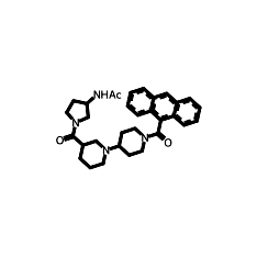 CC(=O)NC1CCN(C(=O)C2CCCN(C3CCN(C(=O)c4c5ccccc5cc5ccccc45)CC3)C2)C1